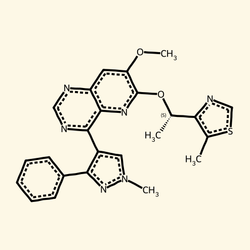 COc1cc2ncnc(-c3cn(C)nc3-c3ccccc3)c2nc1O[C@@H](C)c1ncsc1C